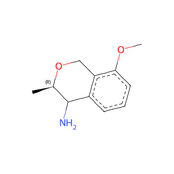 COc1cccc2c1CO[C@H](C)C2N